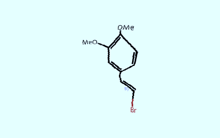 COc1ccc(/C=C/Br)cc1OC